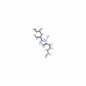 C=CC(C)C/C(=C\C)c1ncc(/C=C\CCC)n1C